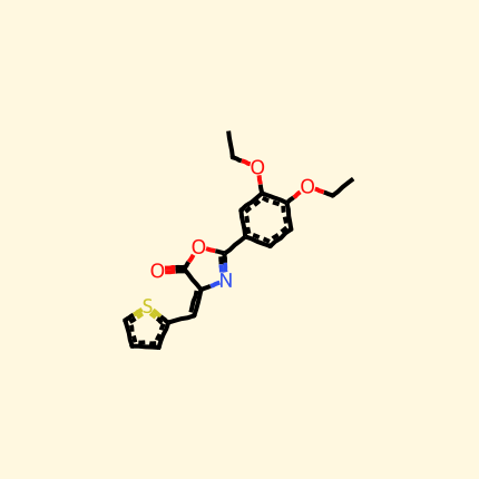 CCOc1ccc(C2=NC(=Cc3cccs3)C(=O)O2)cc1OCC